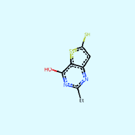 CCc1nc(O)c2sc(S)cc2n1